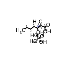 CCCC/C(O)=C(\C)C(=O)O.O=P(O)(O)O